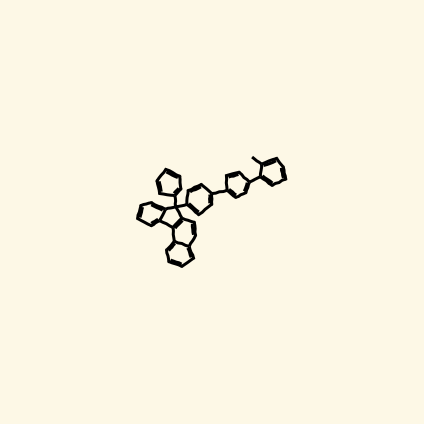 Cc1ccccc1-c1ccc(-c2ccc(C3(c4ccccc4)c4ccccc4-c4c3ccc3ccccc43)cc2)cc1